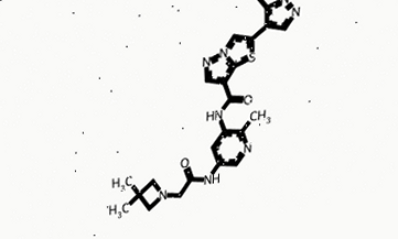 Cc1ncc(NC(=O)CN2CC(C)(C)C2)cc1NC(=O)c1cnn2cc(-c3cnn4c3CCC4)sc12